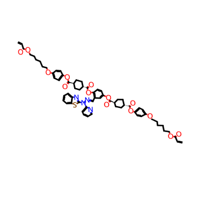 C=CC(=O)OCCCCCCOc1ccc(OC(=O)[C@H]2CC[C@H](C(=O)Oc3ccc(OC(=O)[C@H]4CC[C@H](C(=O)Oc5ccc(OCCCCCCOC(=O)C=C)cc5)CC4)c(/C=N/N(c4ccccn4)c4nc5ccccc5s4)c3)CC2)cc1